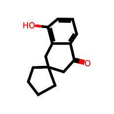 O=C1CC2(CCCC2)Cc2c(O)cccc21